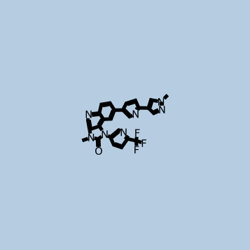 Cn1cc(-c2ccc(-c3ccc4ncc5c(c4c3)n(-c3ccc(C(F)(F)F)nc3)c(=O)n5C)cn2)cn1